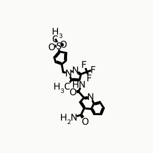 Cc1c(NC(=O)c2cc(C(N)=O)c3ccccc3n2)c(C(F)(F)F)nn1Cc1ccc(S(C)(=O)=O)cc1